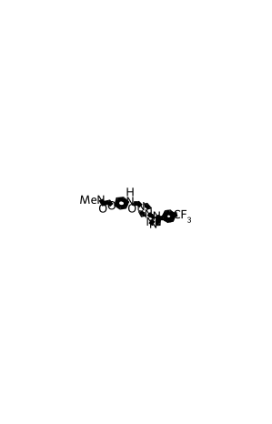 CNC(=O)CO[C@H]1CC[C@H](NC(=O)CN2CCN(c3nncc(-c4ccc(C(F)(F)F)cc4)n3)CC2)CC1